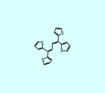 C(C=C(c1cccs1)c1cccs1)=C(c1cccs1)c1cccs1